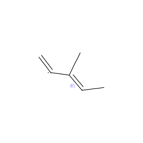 C=[C]/C(C)=C/C